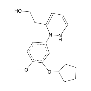 COc1ccc(N2NC=CC=C2CCO)cc1OC1CCCC1